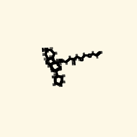 C=CCOCOCNCCNc1nc(-c2ccncc2)nc2sc3c(c12)CCNC3